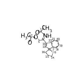 CC(=O)NC(COC(C)=O)C1=CC2(CCCC2)c2ccccc21